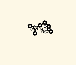 CC1(C)c2ccccc2-c2ccc3c(oc4c(-c5ccc(-c6nc(-c7ccccc7)c7oc8ccccc8c7n6)cc5)cccc43)c21